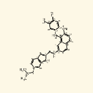 CN(C)Cc1ccc2cc(CNc3ccc4ncc(C#N)c(Nc5ccc(F)c(Cl)c5)c4c3)[nH]c2c1